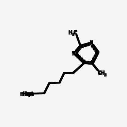 CCCCCCCCCCCCc1nc(C)ncc1C